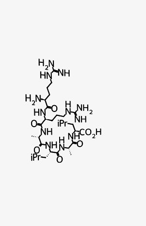 CC(C)C[C@H](NC(=O)[C@H](C)NC(=O)[C@H](CC(C)C)NC(=O)[C@H](C)NC(=O)[C@H](CCCNC(=N)N)NC(=O)[C@@H](N)CCCNC(=N)N)C(=O)O